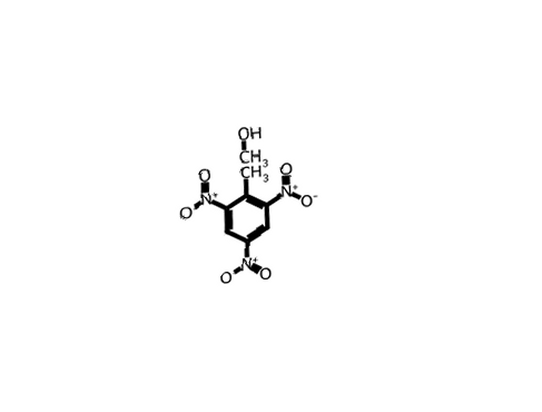 CO.Cc1c([N+](=O)[O-])cc([N+](=O)[O-])cc1[N+](=O)[O-]